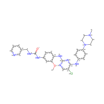 COc1cc(NC(=O)NCc2cccnc2)ccc1Nc1ncc(Cl)c(Nc2ccc(N3CCN(C)CC3)cc2)n1